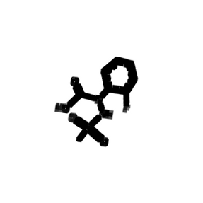 CS(=O)(=O)NN(C(=O)O)c1ccccc1F